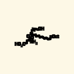 CCCCCCCC/C=C\CCCCCCCC(=O)OC(=O)C(N)CCC(=O)O.C[N+](C)(C)CCO